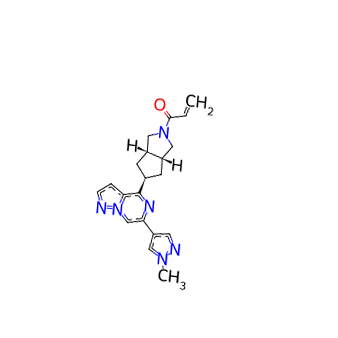 C=CC(=O)N1C[C@H]2C[C@H](c3nc(-c4cnn(C)c4)cn4nccc34)C[C@H]2C1